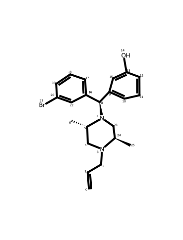 C=CCN1C[C@H](C)N([C@H](c2cccc(O)c2)c2cccc(Br)c2)C[C@H]1C